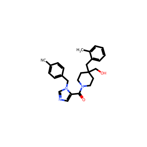 Cc1ccccc1CC1(CO)CCN(C(=O)c2cncn2Cc2ccc(C#N)cc2)CC1